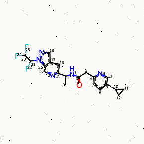 CC(NC(=O)Cc1ccc(C2CC2)cn1)c1cc2cnn(C(F)C(F)F)c2cn1